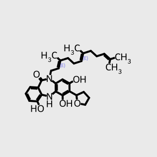 CC(C)=CCC/C(C)=C/CC/C(C)=C/CN1C(=O)c2cccc(O)c2Nc2c1cc(O)c(C1CCCO1)c2O